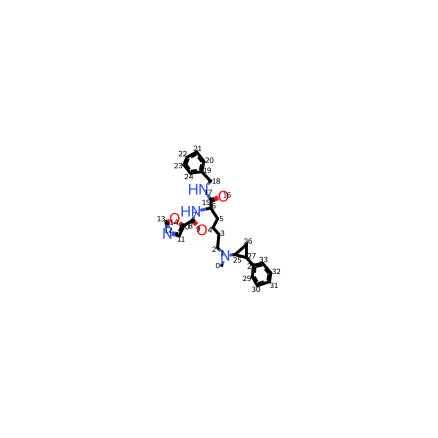 CN(CCCCC(NC(=O)c1cnco1)C(=O)NCc1ccccc1)C1CC1c1ccccc1